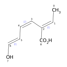 C\C=C(/C=C\C=C\O)C(=O)O